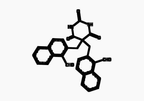 O=Cc1c(CC2(Cc3ccc4ccccc4c3C=O)C(=O)NC(=O)NC2=O)ccc2ccccc12